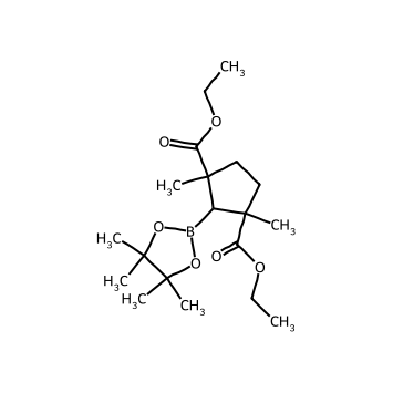 CCOC(=O)C1(C)CCC(C)(C(=O)OCC)C1B1OC(C)(C)C(C)(C)O1